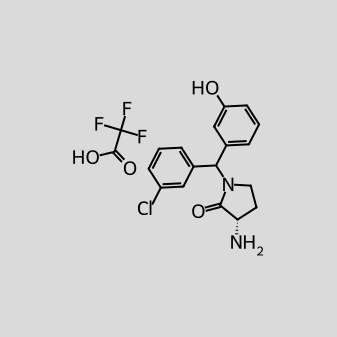 N[C@H]1CCN(C(c2cccc(O)c2)c2cccc(Cl)c2)C1=O.O=C(O)C(F)(F)F